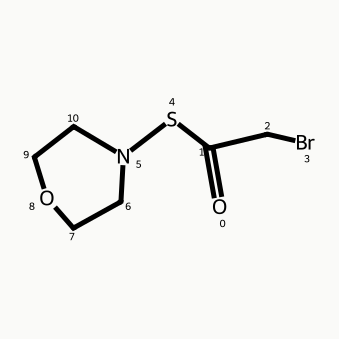 O=C(CBr)SN1CCOCC1